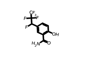 NC(=O)c1cc(C(F)C(F)(F)C(F)(F)F)ccc1O